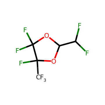 FC(F)C1OC(F)(F)C(F)(C(F)(F)F)O1